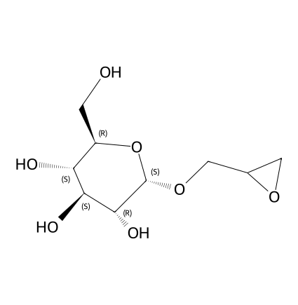 OC[C@H]1O[C@H](OCC2CO2)[C@H](O)[C@@H](O)[C@@H]1O